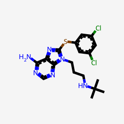 CC(C)(C)NCCCn1c(Sc2cc(Cl)cc(Cl)c2)nc2c(N)ncnc21